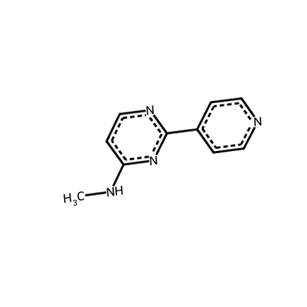 CNc1ccnc(-c2ccncc2)n1